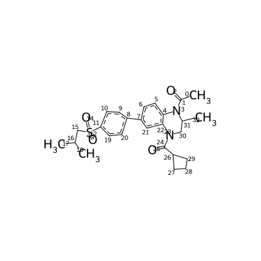 CC(=O)N1c2ccc(-c3ccc(S(=O)(=O)CC(C)C)cc3)cc2N(C(=O)C2CCC2)CC1C